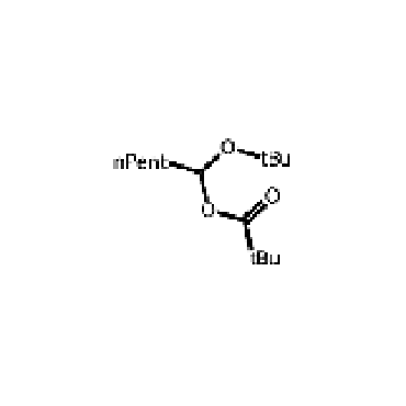 CCCCCC(OC(=O)C(C)(C)C)OC(C)(C)C